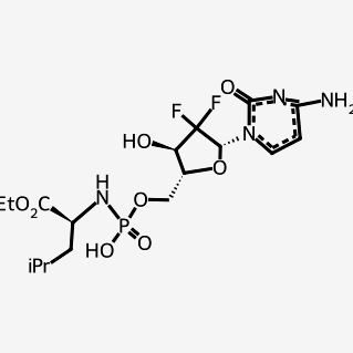 CCOC(=O)[C@H](CC(C)C)NP(=O)(O)OC[C@H]1O[C@@H](n2ccc(N)nc2=O)C(F)(F)[C@@H]1O